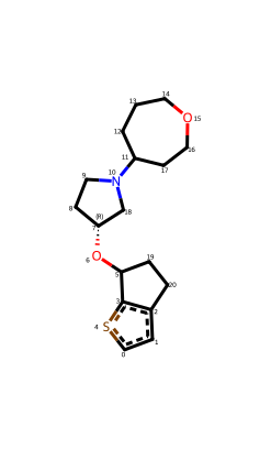 c1cc2c(s1)C(O[C@@H]1CCN(C3CCCOCC3)C1)CC2